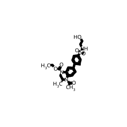 CCOC(=O)N1C[C@H](C)N(C(C)=O)c2ccc(-c3ccc(S(=O)(=O)NCCO)cc3)cc21